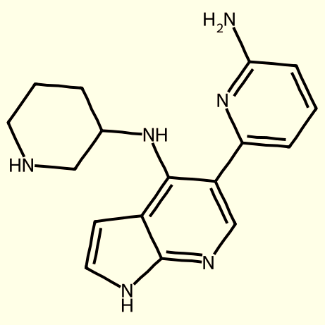 Nc1cccc(-c2cnc3[nH]ccc3c2NC2CCCNC2)n1